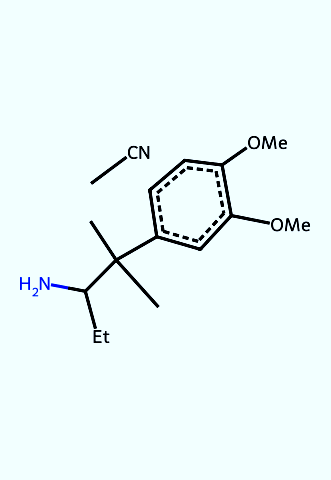 CC#N.CCC(N)C(C)(C)c1ccc(OC)c(OC)c1